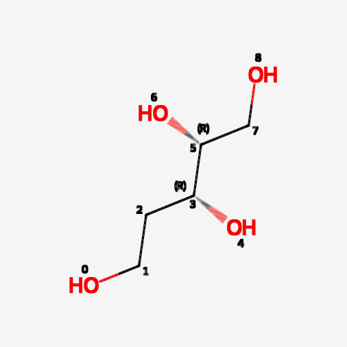 OCC[C@@H](O)[C@H](O)CO